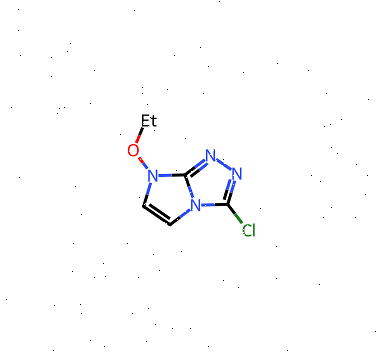 CCOn1ccn2c(Cl)nnc12